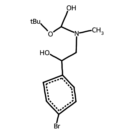 CN(CC(O)c1ccc(Br)cc1)C(O)OC(C)(C)C